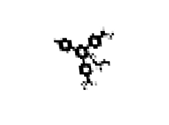 CC[C@@H](C)COc1c(-c2ccc(C(=O)OC)cc2)cc(-c2ccc(C)cc2)cc1-c1ccc(C(=O)OC)cc1